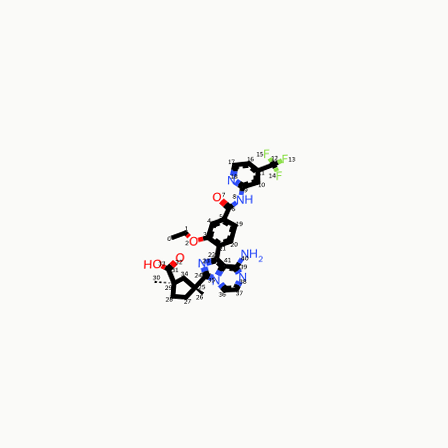 CCOc1cc(C(=O)Nc2cc(C(F)(F)F)ccn2)ccc1-c1nc([C@]2(C)CC[C@@](C)(C(=O)O)C2)n2ccnc(N)c12